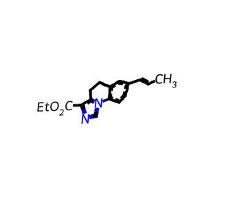 CC=Cc1ccc2c(c1)CCc1c(C(=O)OCC)ncn1-2